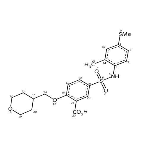 CSc1ccc(NS(=O)(=O)c2ccc(OCC3CCOCC3)c(C(=O)O)c2)c(C)c1